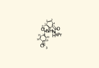 Cc1cccc(C(=O)NC(C)C)c1NC(=O)c1ccc(C(F)(F)F)cc1